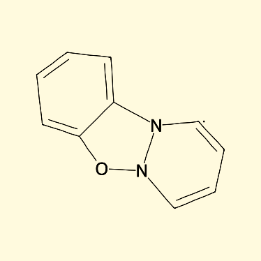 [C]1=CC=CN2Oc3ccccc3N12